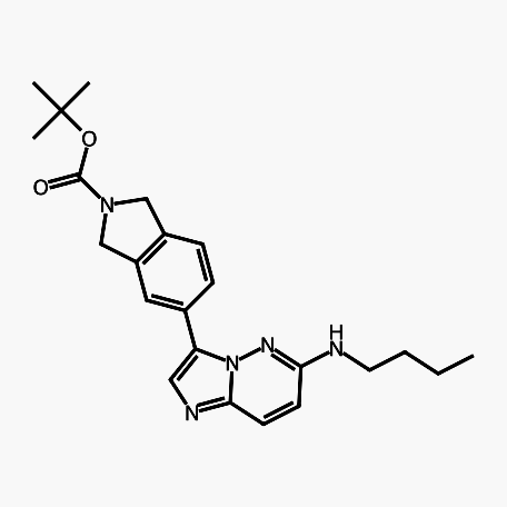 CCCCNc1ccc2ncc(-c3ccc4c(c3)CN(C(=O)OC(C)(C)C)C4)n2n1